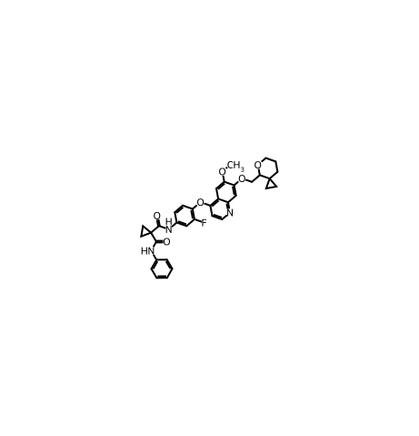 COc1cc2c(Oc3ccc(NC(=O)C4(C(=O)Nc5ccccc5)CC4)cc3F)ccnc2cc1OCC1OCCCC12CC2